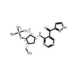 CC(C)(C)[Si](C)(C)O[C@@H]1[C@@H](CO)C[C@@H](Nc2ncncc2C(=O)c2cc[nH]n2)[C@H]1F